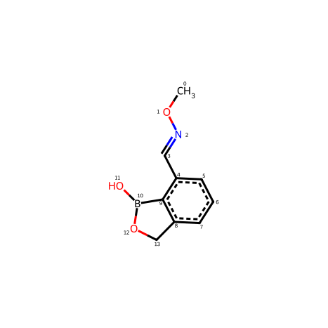 CO/N=C/c1cccc2c1B(O)OC2